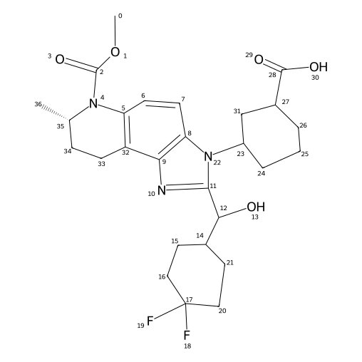 COC(=O)N1c2ccc3c(nc(C(O)C4CCC(F)(F)CC4)n3C3CCCC(C(=O)O)C3)c2CC[C@@H]1C